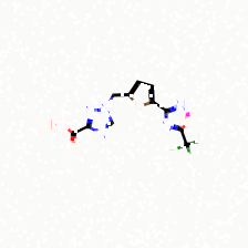 O=C(O)c1ncn(Cc2ccc(-c3noc(C(F)(F)F)n3)s2)n1